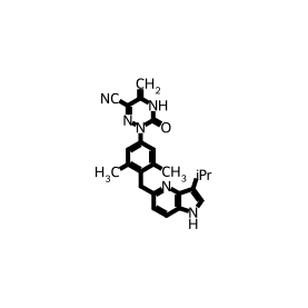 C=C1NC(=O)N(c2cc(C)c(Cc3ccc4[nH]cc(C(C)C)c4n3)c(C)c2)N=C1C#N